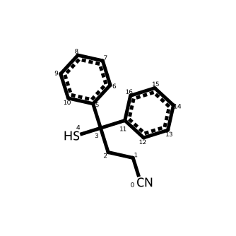 N#CCCC(S)(c1ccccc1)c1ccccc1